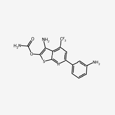 NC(=O)Oc1sc2nc(-c3cccc(N)c3)cc(C(F)(F)F)c2c1N